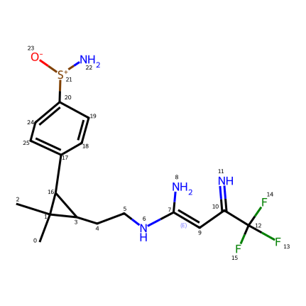 CC1(C)C(CCN/C(N)=C/C(=N)C(F)(F)F)C1c1ccc([S+](N)[O-])cc1